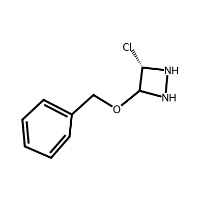 Cl[C@@H]1NNC1OCc1ccccc1